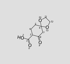 O=C(O)C1CCC2(CC1=O)OCCO2